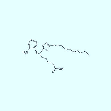 CCCCCCCCCCc1ccc(C(CCCCC(=O)O)Sc2ccccc2N)s1